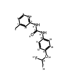 Cc1ccnc(NC(=O)Nc2ccc(OC(F)F)cc2)c1